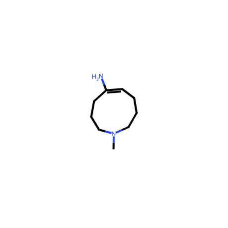 CN1CCC/C=C(/N)CCC1